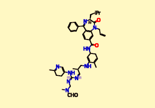 C=CCN1C(=O)[C@H](CC(C)C)N=C(c2ccccc2)c2ccc(C(=O)NC3C=C(NCC(C)/C=N\C(=N/CN(C)C=O)NC4=CN=C(C)CC4)C(C)=CC3)cc21